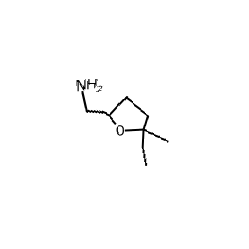 CC1(C)CCC(CN)O1